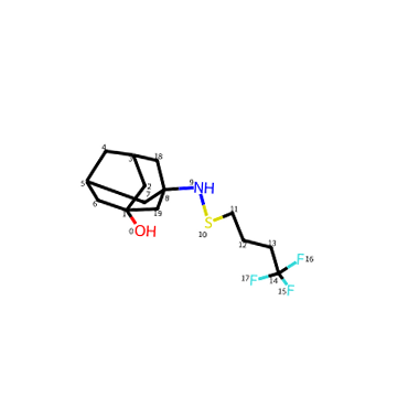 OC12CC3CC(C1)CC(NSCCCC(F)(F)F)(C3)C2